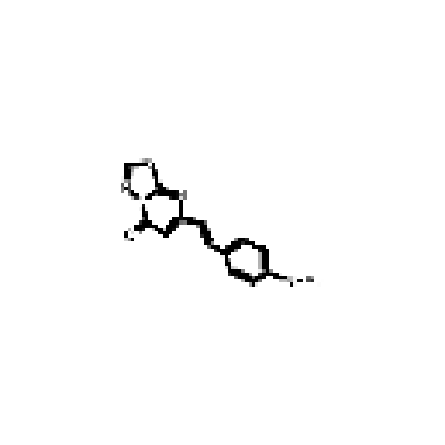 CC(=O)Nc1ccc(/C=C/c2cc(=O)n3ncsc3n2)cc1